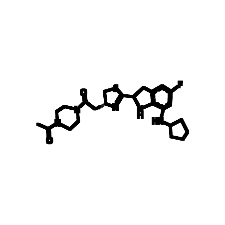 CC(=O)N1CCN(C(=O)C[C@@H]2CSC(C3Cc4cc(F)cc(NC5CCCC5)c4N3)=N2)CC1